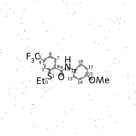 CCSc1cc(C(F)(F)F)ccc1C(=O)Nc1ccc(OC)cc1